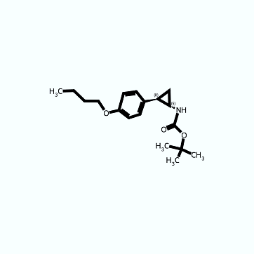 CCCCOc1ccc([C@H]2C[C@@H]2NC(=O)OC(C)(C)C)cc1